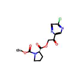 CC(C)(C)OC(=O)N1CCC[C@H]1C(=O)OCC(=O)c1cnc(Cl)cn1